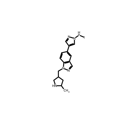 CC1CC(Cn2ncc3cc(-c4cnn(PI)c4)ccc32)CN1